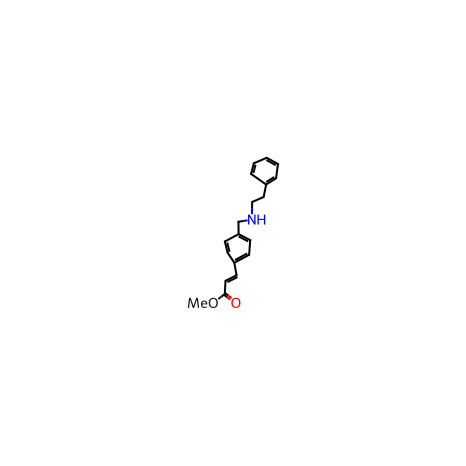 COC(=O)C=Cc1ccc(CNCCc2ccccc2)cc1